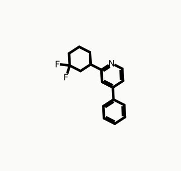 FC1(F)CCCC(c2cc(-c3ccccc3)ccn2)C1